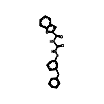 O=C(NSc1cccc(Cc2ccccc2)c1)NC(=O)c1cc2ccccc2o1